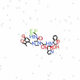 COc1ccc(CN2CCN(C[C@@H](O)C[C@@H](Cc3cccnc3)C(=O)N[C@H]3c4ccccc4OC[C@H]3O)[C@H](C(=O)NCC(F)(F)F)C2)c2c(C)coc12